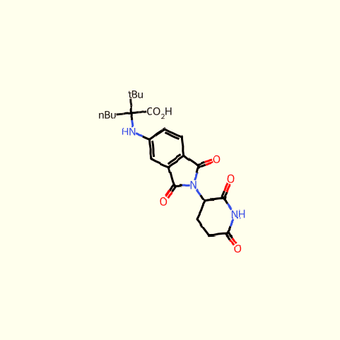 CCCCC(Nc1ccc2c(c1)C(=O)N(C1CCC(=O)NC1=O)C2=O)(C(=O)O)C(C)(C)C